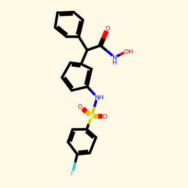 O=C(NO)C(c1ccccc1)c1cccc(NS(=O)(=O)c2ccc(F)cc2)c1